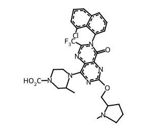 CC1CN(C(=O)O)CCN1c1nc(OCC2CCCN2C)nc2c(=O)n(-c3cccc4cccc(Cl)c34)c(C(F)(F)F)nc12